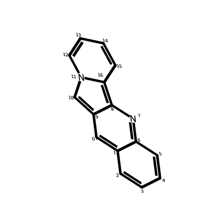 [c]1c2ccccc2nc2c1cn1ccccc21